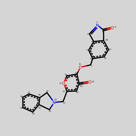 O=C1N=Cc2cc(COc3coc(CN4Cc5ccccc5C4)cc3=O)ccc21